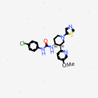 COc1ccc([C@@H]2CN(c3cncs3)CC[C@H]2NC(=O)Nc2ccc(Cl)cc2)nc1